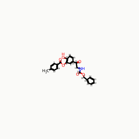 Cc1ccc(C(=O)Oc2cc(C(=O)CNC(=O)OCc3ccccc3)ccc2O)cc1